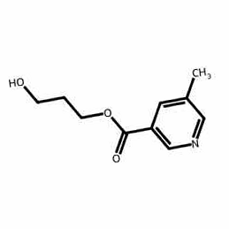 Cc1cncc(C(=O)OCCCO)c1